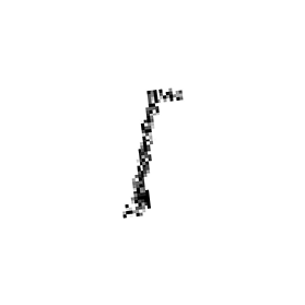 CNCCOCCOCCOCCOCCOCCOCCn1cc(C(C)=O)nn1